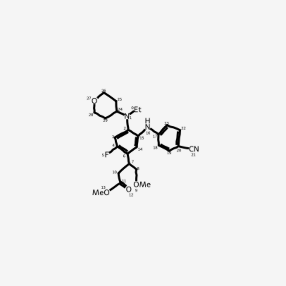 CCN(c1cc(F)c(C(COC)CC(=O)OC)cc1Nc1ccc(C#N)cc1)C1CCOCC1